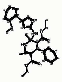 CCOC(=O)C1=C(C)NC(C)(Nc2nc(-c3ccccc3OC)cs2)C(C(=O)OCC)C1c1ccccc1